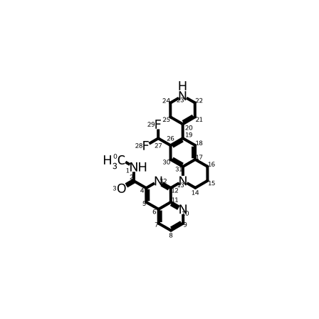 CNC(=O)c1cc2cccnc2c(N2CCCc3cc(C4=CCNCC4)c(C(F)F)cc32)n1